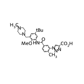 COc1c(CN2CCN(C)CC2)cc(C(C)(C)C)cc1NC(=O)c1ccc(C)c(-n2cc(C(=O)O)nn2)c1